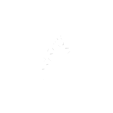 C[C@@H](NC(=O)[C@H](Cc1ccc(-c2ncc(C3=CCC(C(C)(C)C)CC3)cn2)cc1)NC(=O)c1ccc(C(C)(C)C)s1)C(=O)O